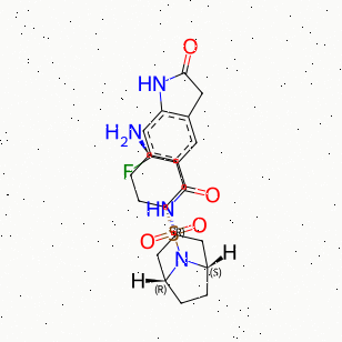 N[C@H]1CC[C@H](S(=O)(=O)N2[C@@H]3CC[C@H]2C[C@@H](NC(=O)c2cc4c(cc2F)NC(=O)C4)C3)CC1